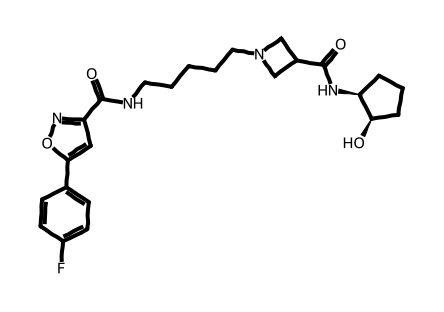 O=C(NCCCCCN1CC(C(=O)N[C@H]2CCC[C@H]2O)C1)c1cc(-c2ccc(F)cc2)on1